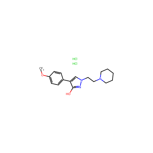 Cl.Cl.Oc1nn(CCN2CCCCC2)cc1-c1ccc(OC(F)(F)F)cc1